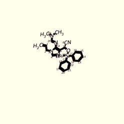 C=CCn1cnc([C@@H](C#N)O[Si](c2ccccc2)(c2ccccc2)C(C)(C)C)c1/N=C/N(C)C